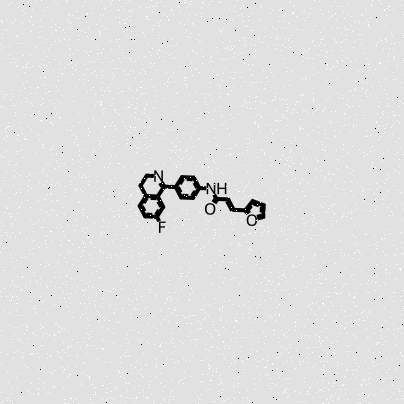 O=C(C=Cc1ccco1)Nc1ccc(C2=NCCc3ccc(F)cc32)cc1